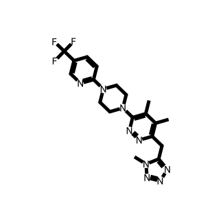 Cc1c(Cc2nnnn2C)nnc(N2CCN(c3ccc(C(F)(F)F)cn3)CC2)c1C